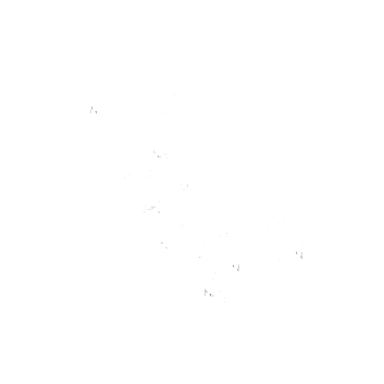 Cc1ccncc1-c1cc2cc(NC(=O)C(=O)NCc3ccccc3C#N)ncc2c(N)n1